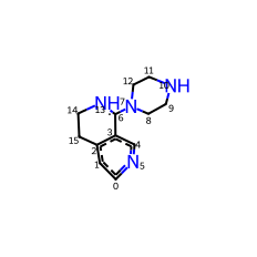 c1cc2c(cn1)[C](N1CCNCC1)NCC2